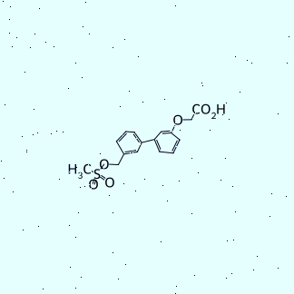 CS(=O)(=O)OCc1cccc(-c2cccc(OCC(=O)O)c2)c1